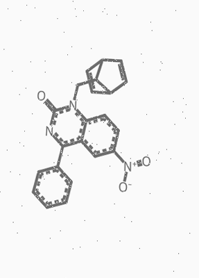 O=c1nc(-c2ccccc2)c2cc([N+](=O)[O-])ccc2n1CC1C2C=CC1C=C2